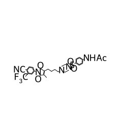 CC(=O)Nc1ccc(S(=O)(=O)N2CCN(CCCCC3=C(C)C(=O)N(c4ccc(C#N)c(C(F)(F)F)c4)C3=O)CC2)cc1